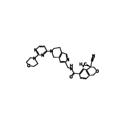 C[C@@]1(C#N)COCc2ccc(C(=O)NCc3cc4c(cn3)CCN(c3ccnc(N5CCOCC5)n3)C4)cc21